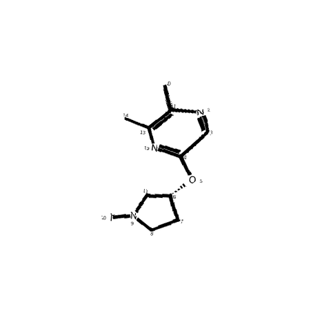 Cc1ncc(O[C@@H]2CCN(I)C2)nc1C